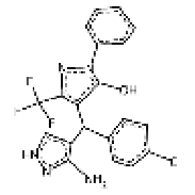 Nc1n[nH]cc1C(c1ccc(Cl)cc1)c1c(C(F)(F)F)nn(-c2ccccc2)c1O